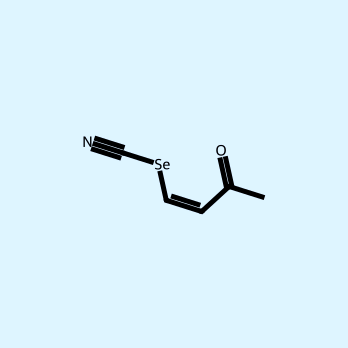 CC(=O)/C=C\[Se]C#N